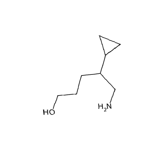 NCC(CCCO)C1CC1